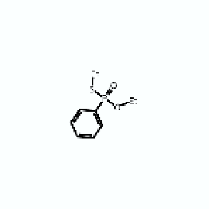 CCOP(=O)(SCC)c1ccccc1